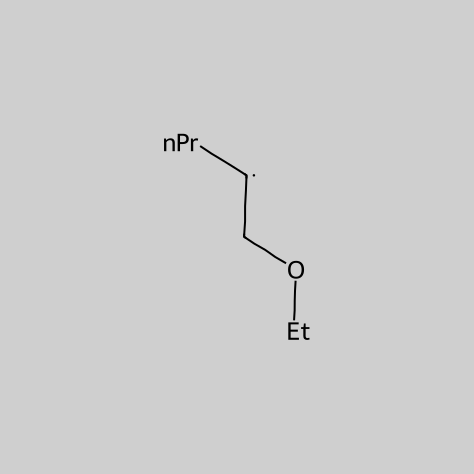 [CH2]CC[CH]COCC